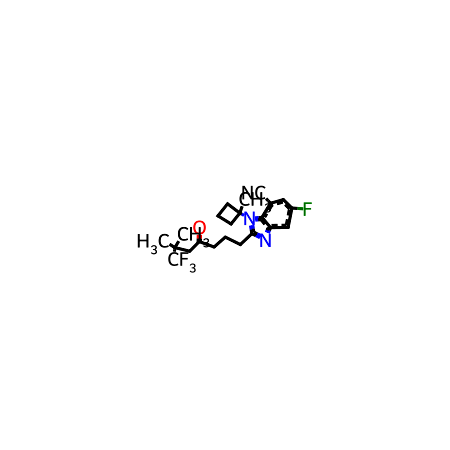 CC1(n2c(CCCC(=O)CC(C)(C)C(F)(F)F)nc3cc(F)cc(C#N)c32)CCC1